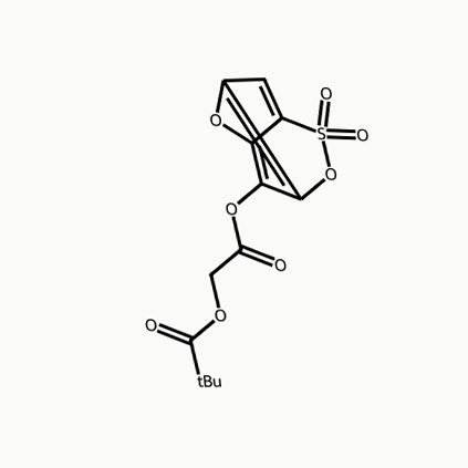 CC(C)(C)C(=O)OCC(=O)Oc1c2c3cc(c1o3)S(=O)(=O)O2